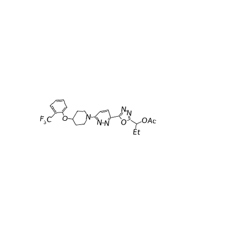 CCC(OC(C)=O)c1nnc(-c2ccc(N3CCC(Oc4ccccc4C(F)(F)F)CC3)nn2)o1